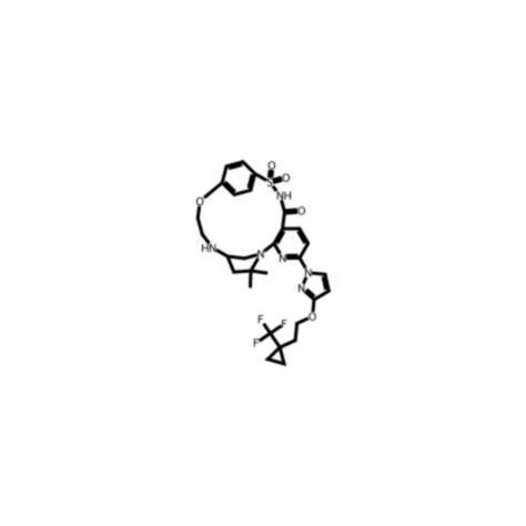 CC1(C)CC2CN1c1nc(-n3ccc(OCCC4(C(F)(F)F)CC4)n3)ccc1C(=O)NS(=O)(=O)c1ccc(cc1)OCCN2